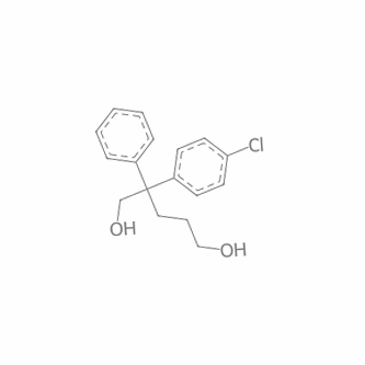 OCCCC(CO)(c1ccccc1)c1ccc(Cl)cc1